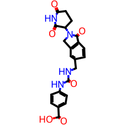 O=C1CCC(N2Cc3cc(CNC(=O)Nc4ccc(C(=O)O)cc4)ccc3C2=O)C(=O)N1